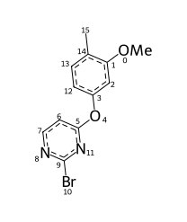 COc1cc(Oc2ccnc(Br)n2)ccc1C